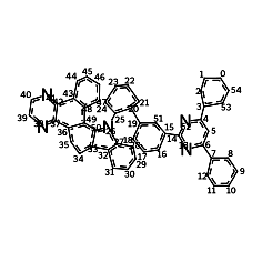 c1ccc(-c2cc(-c3ccccc3)nc(-c3cccc(-c4ccccc4-n4c5ccccc5c5ccc6c7nccnc7c7ccccc7c6c54)c3)n2)cc1